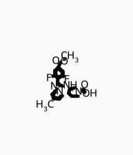 COC(=O)c1cc(F)c(-c2nc3cc(C)ccn3c2N[C@@H]2CCCN(C(=O)O)C2)c(F)c1